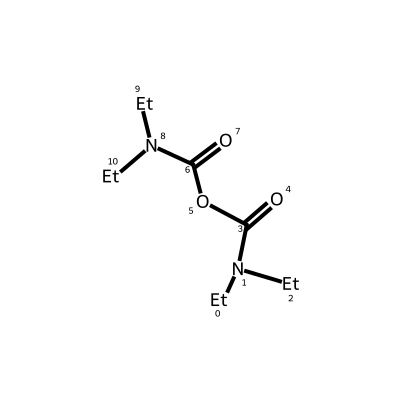 CCN(CC)C(=O)OC(=O)N(CC)CC